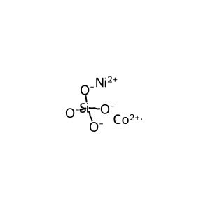 [Co+2].[Ni+2].[O-][Si]([O-])([O-])[O-]